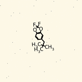 CC(C)(C)Cc1ccc2c(c1)OC(F)(F)O2